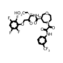 O=C(O)C[C@H](NC(=O)[C@H]1COCCN(C(=O)C(=O)Nc2cccc(C(F)(F)F)c2)C1)C(=O)COc1c(F)c(F)cc(F)c1F